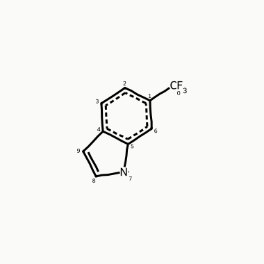 FC(F)(F)c1ccc2c(c1)[N]C=C2